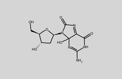 NC1=NC2(O)C(=NC(=O)N2[C@H]2C[C@H](O)[C@@H](CO)O2)C(=O)N1